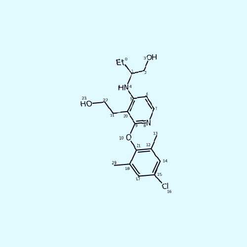 CCC(CO)Nc1ccnc(Oc2c(C)cc(Cl)cc2C)c1CCO